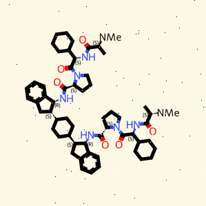 CN[C@@H](C)C(=O)N[C@H](C(=O)N1CCC[C@H]1C(=O)N[C@H]1c2ccccc2C[C@H]1C1CCC([C@@H]2Cc3ccccc3[C@@H]2NC(=O)[C@@H]2CCCN2C(=O)[C@@H](NC(=O)[C@H](C)NC)C2CCCCC2)CC1)C1CCCCC1